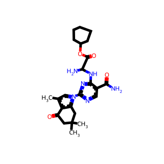 Cc1cn(-c2ncc(C(N)=O)c(NC(N)C(=O)OC3CCCCC3)n2)c2c1C(=O)CC(C)(C)C2